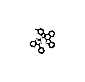 CC1C=Cc2c3c(n(-c4nc5c(c(-c6ccccc6)n4)C=CCC5)c2C1)C1Sc2ccccc2C1C1=C3C=CCC1